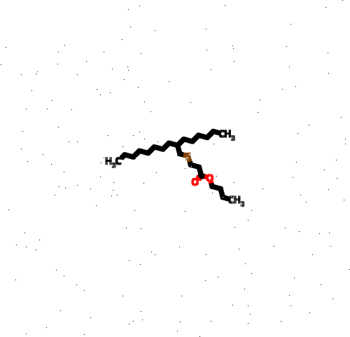 CCCCCCCCC(CCCCCC)CSCCC(=O)OCCCC